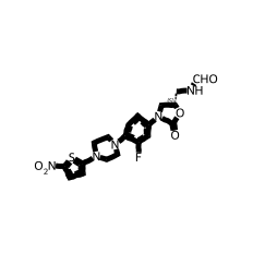 O=CNC[C@H]1CN(c2ccc(N3CCN(c4ccc([N+](=O)[O-])s4)CC3)c(F)c2)C(=O)O1